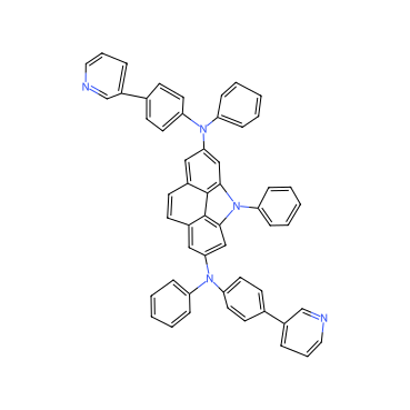 c1ccc(N(c2ccc(-c3cccnc3)cc2)c2cc3ccc4cc(N(c5ccccc5)c5ccc(-c6cccnc6)cc5)cc5c4c3c(c2)n5-c2ccccc2)cc1